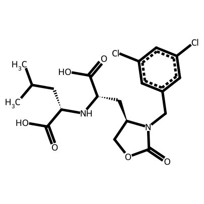 CC(C)C[C@H](N[C@@H](C[C@@H]1COC(=O)N1Cc1cc(Cl)cc(Cl)c1)C(=O)O)C(=O)O